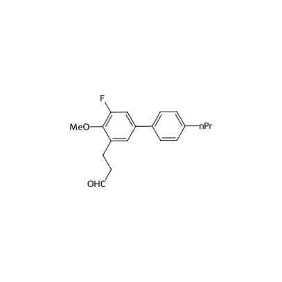 CCCc1ccc(-c2cc(F)c(OC)c(CCC=O)c2)cc1